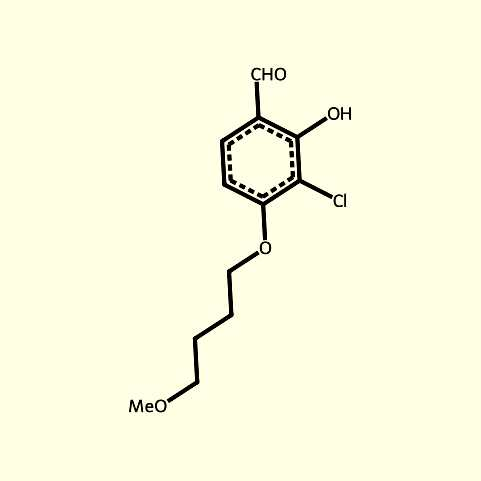 COCCCCOc1ccc(C=O)c(O)c1Cl